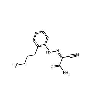 CCCCc1ccccc1NN=C(C#N)C(N)=O